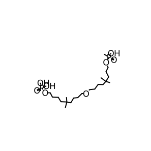 CC(C)(CCCCOCCCCC(C)(C)CCCOP(C)(=O)O)CCCCOP(=O)(O)O